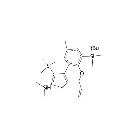 C=CCOc1c(C2=CCC([SiH](C)C)=C2[Si](C)(C)C)cc(C)cc1[Si](C)(C)C(C)(C)C